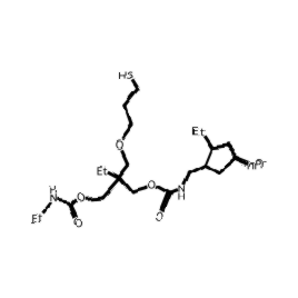 CCCC1CC(CC)C(CNC(=O)OCC(CC)(COCCCS)COC(=O)NCC)C1